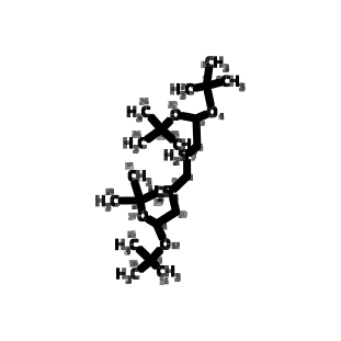 CC(C)(C)OC(C[SiH2]C[SiH2]CC(OC(C)(C)C)OC(C)(C)C)OC(C)(C)C